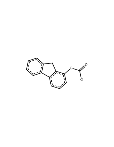 O=C(Cl)Oc1cccc2c1Cc1ccccc1-2